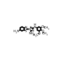 COc1cc(Nc2nc(N)n(-c3nc4ccc(N)cc4s3)n2)cc(OC)c1OC